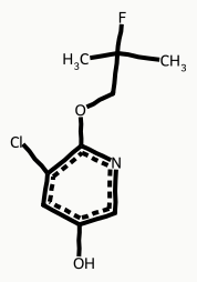 CC(C)(F)COc1ncc(O)cc1Cl